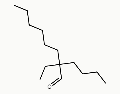 CCCCCCC(C=O)(CC)CCCC